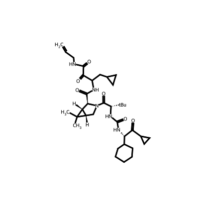 C=CCNC(=O)C(=O)C(CC1CC1)NC(=O)[C@@H]1[C@@H]2[C@H](CN1C(=O)[C@@H](NC(=O)N[C@H](C(=O)C1CC1)C1CCCCC1)C(C)(C)C)C2(C)C